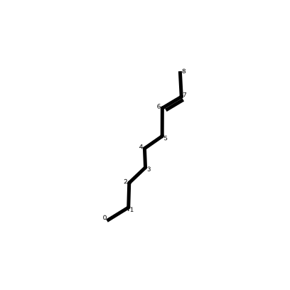 C[CH]CCCC/C=C/C